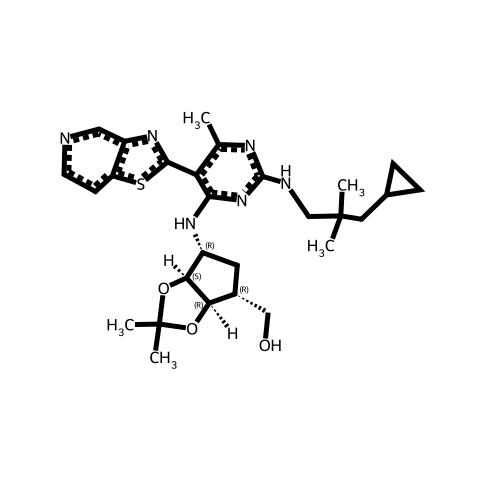 Cc1nc(NCC(C)(C)CC2CC2)nc(N[C@@H]2C[C@H](CO)[C@H]3OC(C)(C)O[C@H]32)c1-c1nc2cnccc2s1